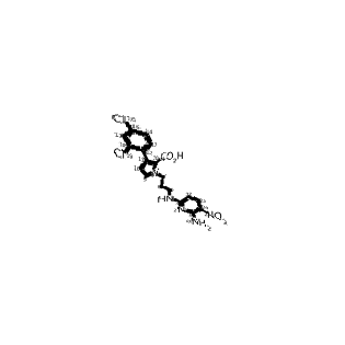 Nc1nc(NCCCn2ccc(-c3ccc(Cl)cc3Cl)c2C(=O)O)ccc1[N+](=O)[O-]